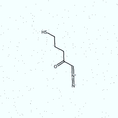 [N-]=[N+]=CC(=O)CCCS